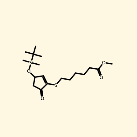 COC(=O)CCCCCSC1=CC(O[Si](C)(C)C(C)(C)C)CC1=O